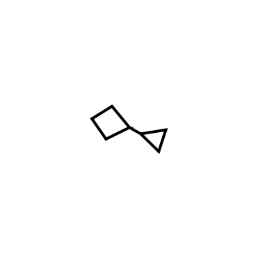 C1C[C](C2CC2)C1